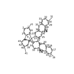 Cc1ccc2c(c1)C(c1ccc3nc4cc(C)ccc4cc3c1)(c1ccc3nc4cc(C)ccc4cc3c1)c1cc(C)ccc1-2